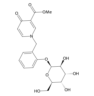 COC(=O)c1cn(Cc2ccccc2O[C@@H]2O[C@H](CO)[C@@H](O)[C@@H](O)[C@@H]2O)ccc1=O